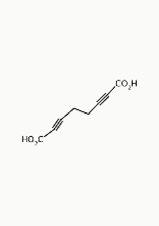 O=C(O)C#CCCC#CC(=O)O